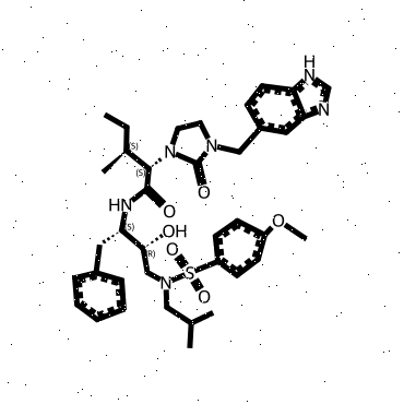 CC[C@H](C)[C@@H](C(=O)N[C@@H](Cc1ccccc1)[C@H](O)CN(CC(C)C)S(=O)(=O)c1ccc(OC)cc1)N1CCN(Cc2ccc3[nH]cnc3c2)C1=O